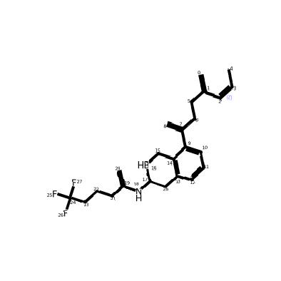 C=C(/C=C\C)CCC(=C)c1cccc2c1CBC(NC(=C)CCCC(F)(F)F)C2